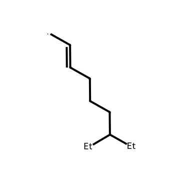 [CH2]/C=C/CCCC(C[CH2])CC